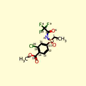 CCS(=O)(=NC(=O)C(F)(F)F)c1ccc(C(=O)OC)c(Cl)c1